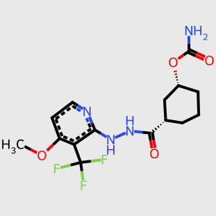 COc1ccnc(NNC(=O)[C@H]2CCC[C@@H](OC(N)=O)C2)c1C(F)(F)F